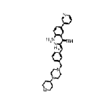 N=C(/C(N)=C/c1cccc(CN2CCN(C3CCOCC3)CC2)c1)c1cc(-c2cccnc2)ccc1N